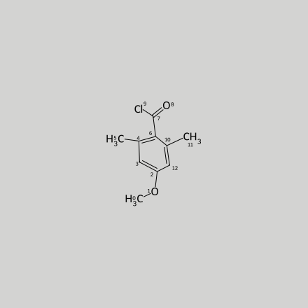 COc1cc(C)c(C(=O)Cl)c(C)c1